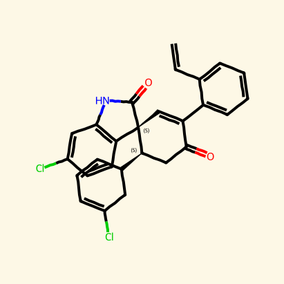 C=Cc1ccccc1C1=C[C@@]2(C(=O)Nc3cc(Cl)ccc32)[C@H](C2C=CC=C(Cl)C2)CC1=O